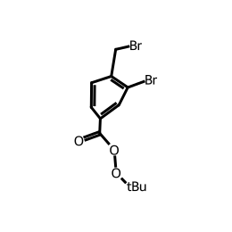 CC(C)(C)OOC(=O)c1ccc(CBr)c(Br)c1